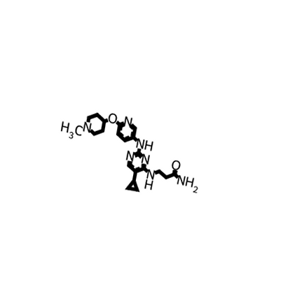 CN1CCC(Oc2ccc(Nc3ncc(C4CC4)c(NCCC(N)=O)n3)cn2)CC1